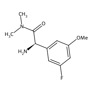 COc1cc(F)cc([C@@H](N)C(=O)N(C)C)c1